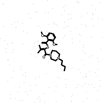 C=C(SC(C(=O)N1CCCN(CCCC)CC1)=C(C)C)c1c(OC)cccc1OC